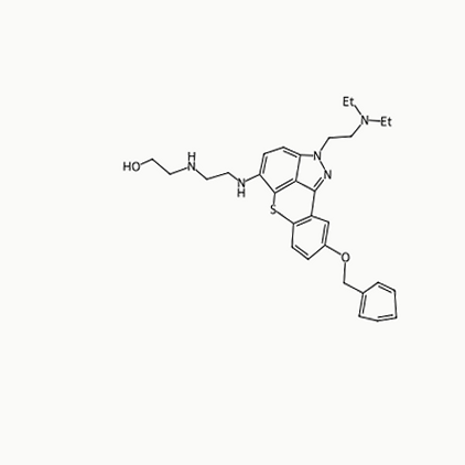 CCN(CC)CCn1nc2c3c(c(NCCNCCO)ccc31)Sc1ccc(OCc3ccccc3)cc1-2